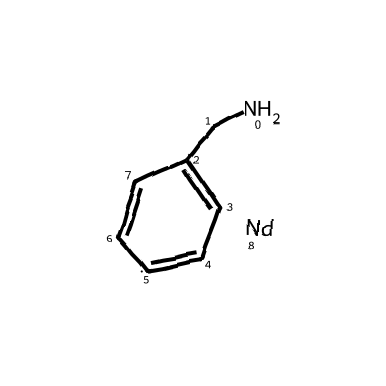 NCc1cc[c]cc1.[Nd]